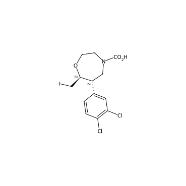 O=C(O)N1CCO[C@H](CI)[C@@H](c2ccc(Cl)c(Cl)c2)C1